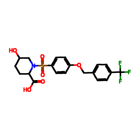 O=C(O)C1CCC(O)CN1S(=O)(=O)c1ccc(OCc2ccc(C(F)(F)F)cc2)cc1